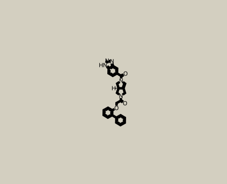 O=C(c1ccc2[nH]nnc2c1)N1C=C2CN(C(=O)COc3ccccc3-c3ccccc3)C[C@H]2C1